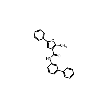 Cc1oc(-c2ccccc2)cc1C(=O)Nc1cccc(-c2ccccc2)c1